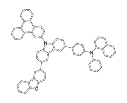 c1ccc(N(c2ccc(-c3ccc4c(c3)c3cc(-c5ccc6oc7ccccc7c6c5)ccc3n4-c3ccc4c5ccccc5c5ccccc5c4c3)cc2)c2cccc3ccccc23)cc1